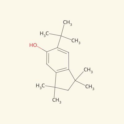 CC(C)(C)c1cc2c(cc1O)C(C)(C)CC2(C)C